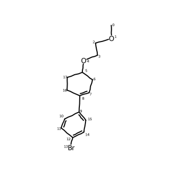 COCCOC1CC=C(c2ccc(Br)cc2)CC1